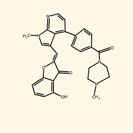 CN1CCN(C(=O)c2ccc(-c3ccnc4c3c(C=C3Oc5cccc(O)c5C3=O)cn4C)cc2)CC1